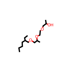 CCCCC(CC)COCC(C)OCCOCC(C)O